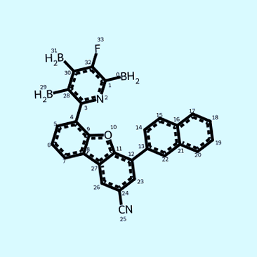 Bc1nc(-c2cccc3c2oc2c(-c4ccc5ccccc5c4)cc(C#N)cc23)c(B)c(B)c1F